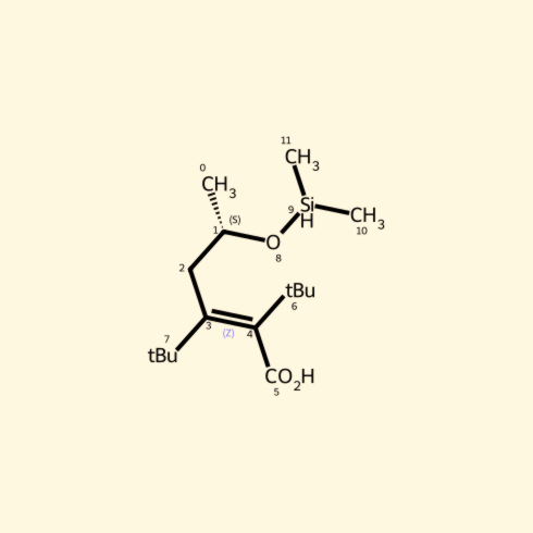 C[C@@H](C/C(=C(/C(=O)O)C(C)(C)C)C(C)(C)C)O[SiH](C)C